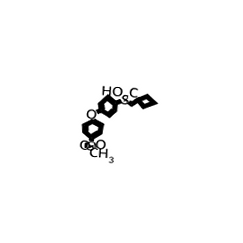 CS(=O)(=O)c1ccc(Oc2ccc(SCC3(C(=O)O)CCC3)cc2)cc1